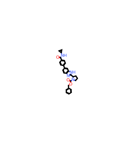 O=C(NC1CC1)c1ccc(-c2ccc3nc(C4CCCN4C(=O)OCc4ccccc4)[nH]c3c2)cc1